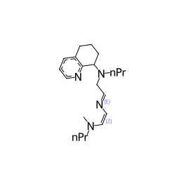 CCCN(C)/C=C\N=C\CN(CCC)C1CCCc2cccnc21